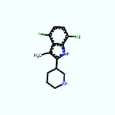 Cc1c(C2CCCNC2)[nH]c2c(Cl)ccc(F)c12